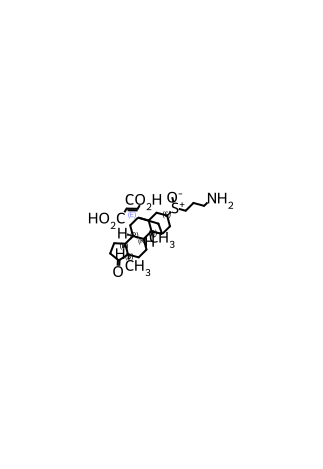 C[C@@]12C3CC(C[C@@H]4[C@H]1CC[C@]1(C)C(=O)CC[C@H]41)C2C[C@@H]([S+]([O-])CCCN)C3.O=C(O)/C=C/C(=O)O